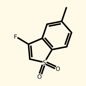 Cc1ccc2c(c1)C(F)=CS2(=O)=O